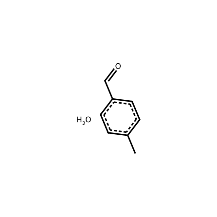 Cc1ccc(C=O)cc1.O